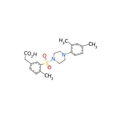 Cc1ccc(N2CCN(S(=O)(=O)c3cc(CC(=O)O)ccc3C)CC2)c(C)c1